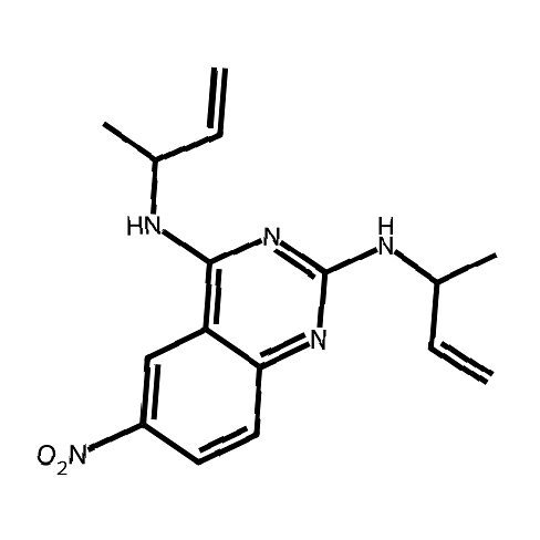 C=CC(C)Nc1nc(NC(C)C=C)c2cc([N+](=O)[O-])ccc2n1